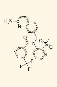 CS(=O)(=O)c1ncccc1N(Cc1ccc2ccc(N)nc2c1)C(=O)c1cncc(C(F)(F)F)c1